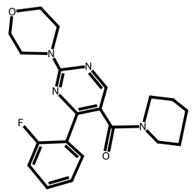 O=C(c1cnc(N2CCOCC2)nc1-c1ccccc1F)N1CCCCC1